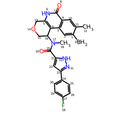 Bc1cc2c3c([nH]c(=O)c2cc1C)COCC3N(C)C(=O)c1cc(-c2ccc(F)cc2)n[nH]1